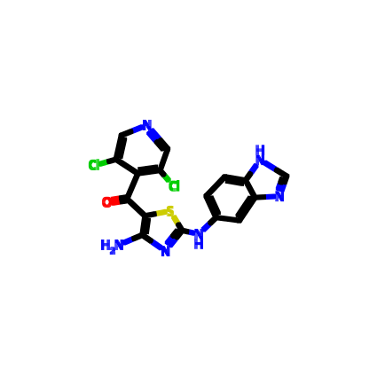 Nc1nc(Nc2ccc3[nH]cnc3c2)sc1C(=O)c1c(Cl)cncc1Cl